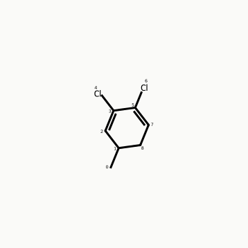 CC1C=C(Cl)C(Cl)=CC1